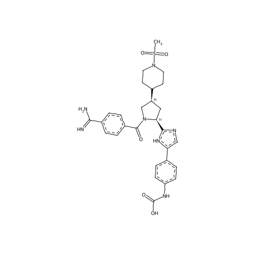 CS(=O)(=O)N1CCC([C@H]2C[C@@H](c3ncc(-c4ccc(NC(=O)O)cc4)[nH]3)N(C(=O)c3ccc(C(=N)N)cc3)C2)CC1